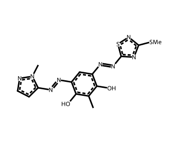 CSc1nsc(/N=N/c2cc(/N=N/c3ccnn3C)c(O)c(C)c2O)n1